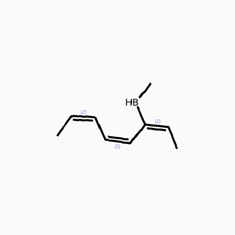 CBC(/C=C\C=C/C)=C/C